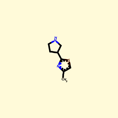 Cc1csc(C2CCNC2)n1